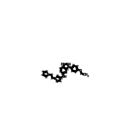 CCOc1ccc(N2NNc3cnc(Nc4cnn(CCn5cccn5)c4)nc32)cc1